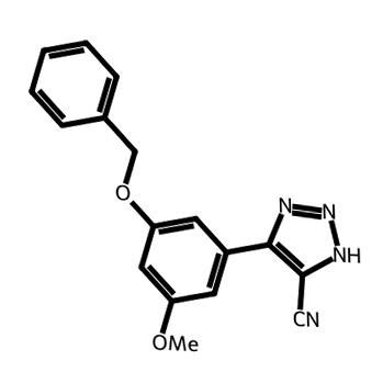 COc1cc(OCc2ccccc2)cc(-c2nn[nH]c2C#N)c1